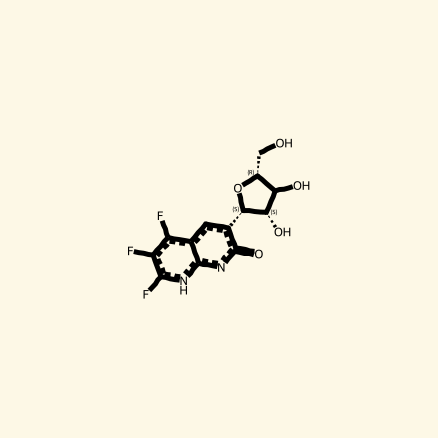 O=c1nc2[nH]c(F)c(F)c(F)c-2cc1[C@@H]1O[C@H](CO)C(O)[C@@H]1O